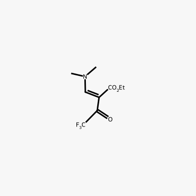 CCOC(=O)/C(=C\N(C)C)C(=O)C(F)(F)F